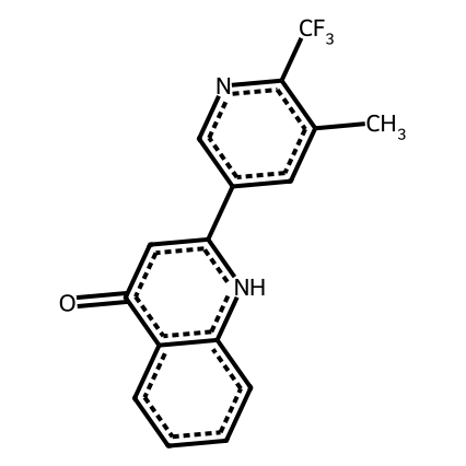 Cc1cc(-c2cc(=O)c3ccccc3[nH]2)cnc1C(F)(F)F